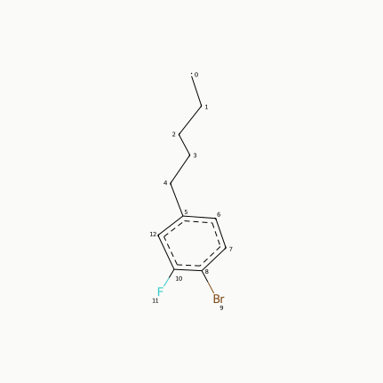 [CH2]CCCCc1ccc(Br)c(F)c1